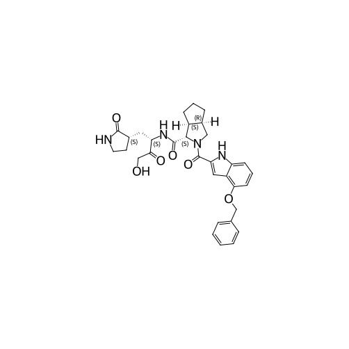 O=C1NCC[C@H]1C[C@H](NC(=O)[C@@H]1[C@H]2CCC[C@H]2CN1C(=O)c1cc2c(OCc3ccccc3)cccc2[nH]1)C(=O)CO